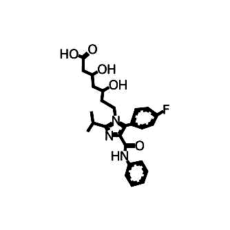 CC(C)c1nc(C(=O)Nc2ccccc2)c(-c2ccc(F)cc2)n1CCC(O)CC(O)CC(=O)O